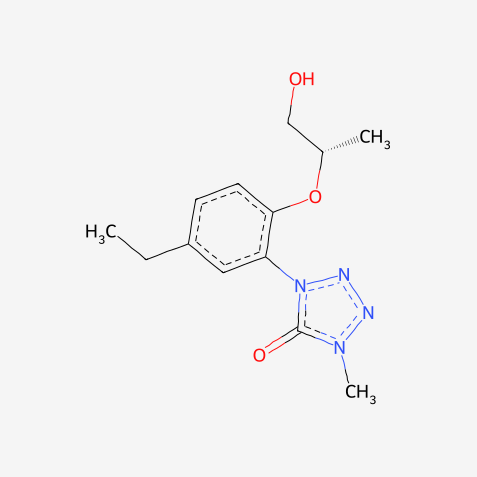 CCc1ccc(O[C@@H](C)CO)c(-n2nnn(C)c2=O)c1